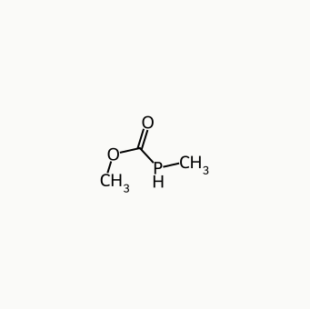 COC(=O)PC